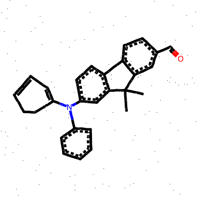 CC1(C)c2cc(C=O)ccc2-c2ccc(N(C3=CC=CCC3)c3ccccc3)cc21